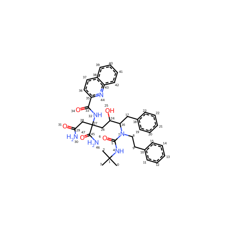 CC(C)(C)NC(=O)N(CCc1ccccc1)C(Cc1ccccc1)C(O)CC(CC(N)=O)(NC(=O)c1ccc2ccccc2n1)C(N)=O